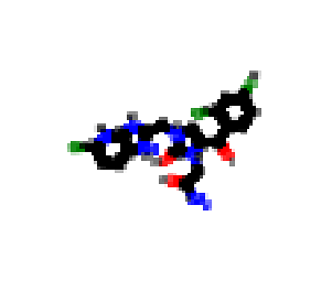 NC(=O)Cn1c(C(=O)c2ccc(Cl)cc2Cl)cn(Cc2nc3nc(Cl)ccc3[nH]2)c1=O